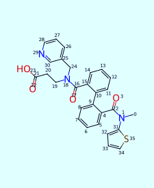 CN(C(=O)c1ccccc1-c1ccccc1C(=O)N(CCC(=O)O)Cc1cccnc1)c1cccs1